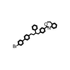 Brc1ccc(-c2ccc(CCC(Cc3ccc(C4=Nc5ccccc5CCO4)cc3)c3ccccc3)cc2)cc1